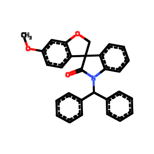 COc1ccc2c(c1)OCC21C(=O)N(C(c2ccccc2)c2ccccc2)c2ccccc21